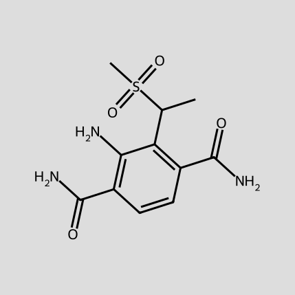 CC(c1c(C(N)=O)ccc(C(N)=O)c1N)S(C)(=O)=O